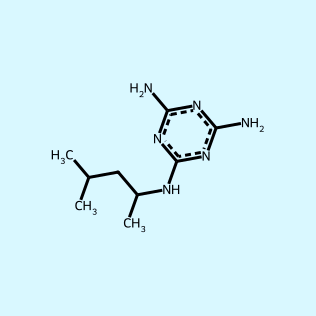 CC(C)CC(C)Nc1nc(N)nc(N)n1